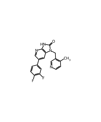 Cc1ccncc1Cn1c(=O)[nH]c2ncc(-c3ccc(F)c(F)c3)cc21